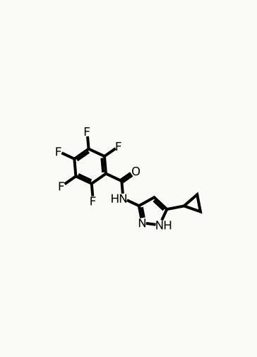 O=C(Nc1cc(C2CC2)[nH]n1)c1c(F)c(F)c(F)c(F)c1F